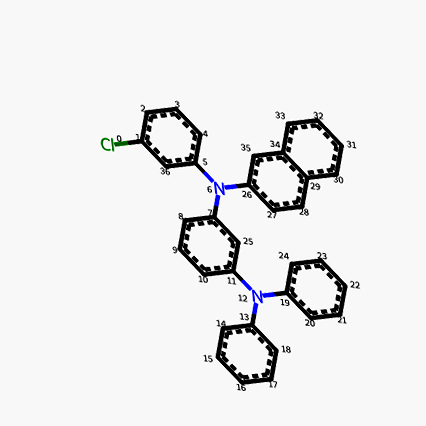 Clc1cccc(N(c2cccc(N(c3ccccc3)c3ccccc3)c2)c2ccc3ccccc3c2)c1